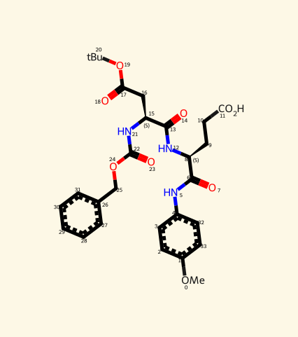 COc1ccc(NC(=O)[C@H](CCC(=O)O)NC(=O)[C@H](CC(=O)OC(C)(C)C)NC(=O)OCc2ccccc2)cc1